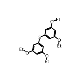 CCOc1cc(OCC)cc(Sc2cc(OCC)cc(OCC)c2)c1